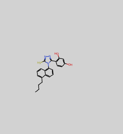 CCCCc1cccc2c(-n3c(S)nnc3-c3ccc(O)cc3O)cccc12